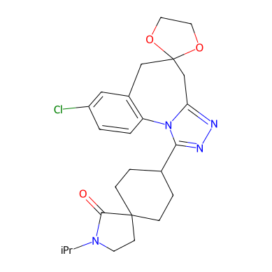 CC(C)N1CCC2(CCC(c3nnc4n3-c3ccc(Cl)cc3CC3(C4)OCCO3)CC2)C1=O